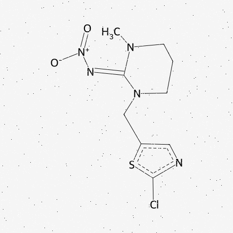 CN1CCCN(Cc2cnc(Cl)s2)/C1=N/[N+](=O)[O-]